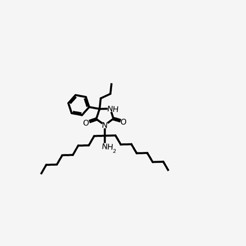 CCCCCCCCC(N)(CCCCCCCC)N1C(=O)NC(CCC)(c2ccccc2)C1=O